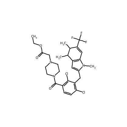 CCOC(=O)CN1CCN(C(=O)c2ccc(Cl)c(Cc3cc4c(n3C)C=C(C(F)(F)F)C(C)C4C)c2Cl)CC1